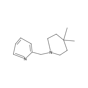 CC1(C)CCN(Cc2ccccn2)CC1